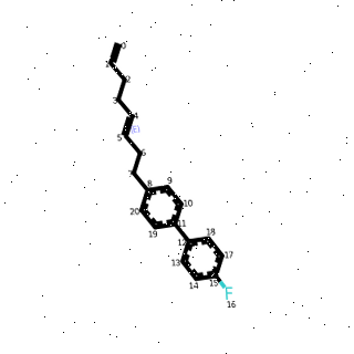 C=CCC/C=C/CCc1ccc(-c2ccc(F)cc2)cc1